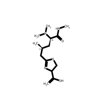 C=C(O)C1CSC(C[C@@H](C)C[C@H](C(=O)NC)N(C)C)=N1